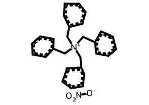 O=[N+]([O-])[O-].c1ccc(C[N+](Cc2ccccc2)(Cc2ccccc2)Cc2ccccc2)cc1